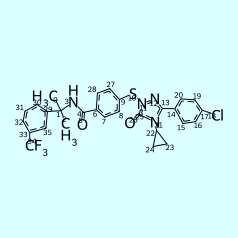 CC(C)(NC(=O)c1ccc(Sn2nc(-c3ccc(Cl)cc3)n(C3CC3)c2=O)cc1)c1cccc(C(F)(F)F)c1